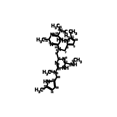 CNC1=NC(CN(Cc2ccc(C)[nH]2)C2=NC(C)N=C(N(C)C)N2)N=C(N(C)Cc2ccc(C)[nH]2)N1